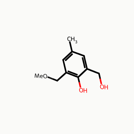 COCc1cc(C)cc(CO)c1O